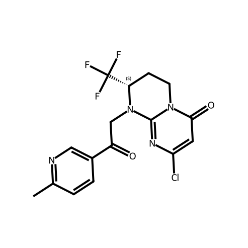 Cc1ccc(C(=O)CN2c3nc(Cl)cc(=O)n3CC[C@H]2C(F)(F)F)cn1